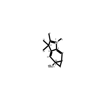 CC1=[N+](C)C2=CC3C[C@]3(C(C)(C)C)C=C2C1(C)C